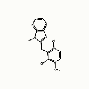 Cn1c(Cc2c(Cl)ccc(C=O)c2Cl)cc2cccnc21